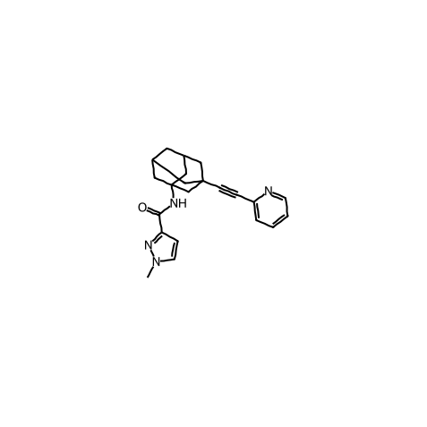 Cn1ccc(C(=O)NC23CC4CC(CC(C#Cc5ccccn5)(C4)C2)C3)n1